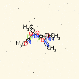 CCC(=O)N[C@@H](C(=O)N1CCN(C)CC1)[C@@H](C)c1ccc(NC(=O)[C@@H](NC(=O)C(F)(F)c2ccc(OC)nc2)C2CCC(C)CC2)c(F)c1